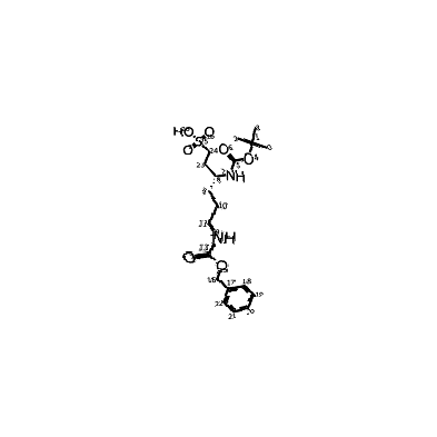 CC(C)(C)OC(=O)N[C@H](CCCNC(=O)OCc1ccccc1)CCS(=O)(=O)O